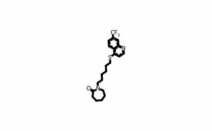 O=C1CCCCCN1CCCCCCSc1ccnc2cc(C(F)(F)F)ccc12